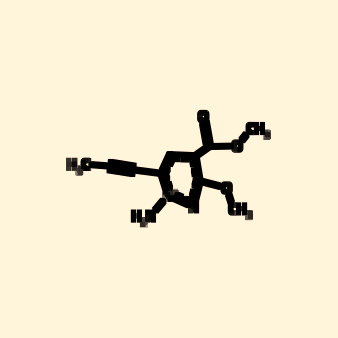 CC#Cc1cc(C(=O)OC)c(OC)n[n+]1N